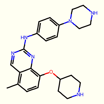 Cc1ccc(OC2CCNCC2)c2nc(Nc3ccc(N4CCNCC4)cc3)ncc12